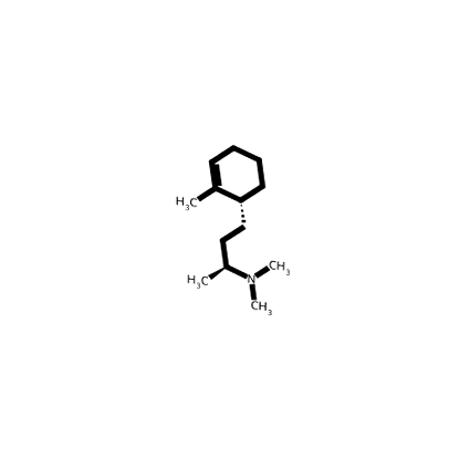 CC1=CCCC[C@@H]1CC[C@H](C)N(C)C